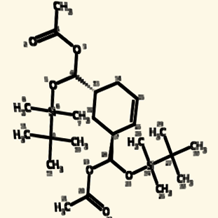 CC(=O)OC(O[Si](C)(C)C(C)(C)C)[C@@H]1CC=C[C@@H](C(OC(C)=O)O[Si](C)(C)C(C)(C)C)C1